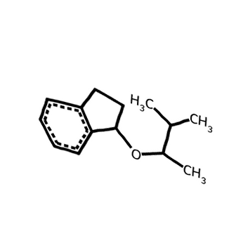 CC(C)C(C)OC1CCc2ccccc21